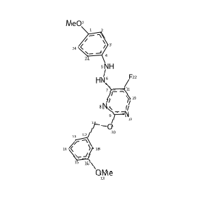 COc1ccc(NNc2nc(OCc3cccc(OC)c3)ncc2F)cc1